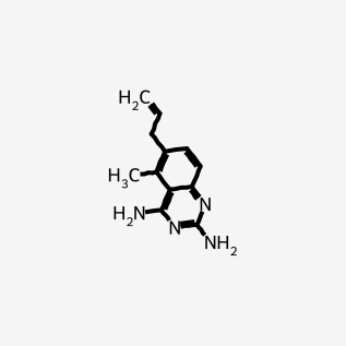 C=CCc1ccc2nc(N)nc(N)c2c1C